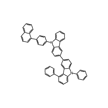 c1ccc(-c2cccc3c2c2cc(-c4ccc5c(c4)c4ccccc4n5-c4ccc(-c5cccc6ccccc56)cc4)ccc2n3-c2ccccc2)cc1